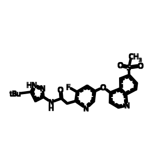 CC(C)(C)c1cc(NC(=O)Cc2ncc(Oc3ccnc4ccc(S(C)(=O)=O)cc34)cc2F)n[nH]1